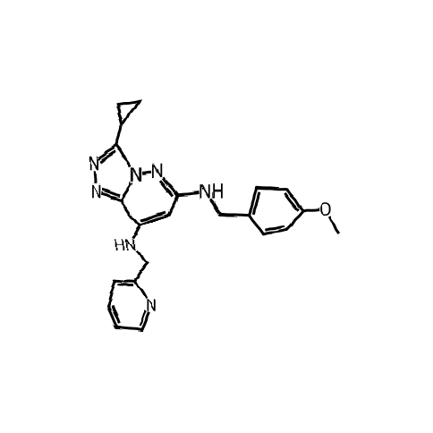 COc1ccc(CNc2cc(NCc3ccccn3)c3nnc(C4CC4)n3n2)cc1